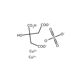 O=C([O-])CC(O)(CC(=O)[O-])C(=O)O.O=S(=O)([O-])[O-].[Cu+2].[Cu+2]